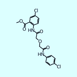 COC(=O)c1cc(Cl)ccc1NC(=O)COCC(=O)Nc1ccc(Cl)cc1